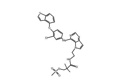 CC(C)(COS(C)(=O)=O)C(=O)NCCn1ccc2ncnc(Nc3ccc(Oc4cccc5sccc45)c(Cl)c3)c21